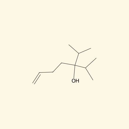 C=CCCC(O)(C(C)C)C(C)C